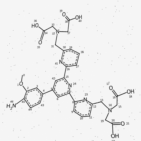 COc1cc(-c2cc(-c3cccc(CN(CC(=O)O)CC(=O)O)n3)nc(-c3cccc(CN(CC(=O)O)CC(=O)O)n3)c2)ccc1N